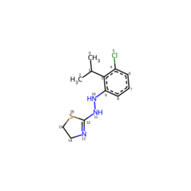 CC(C)c1c(Cl)cccc1NNC1=NCCS1